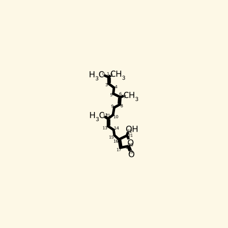 CC(C)=CCCC(C)=CCCC(C)=CCCC1=CC(=O)OC1O